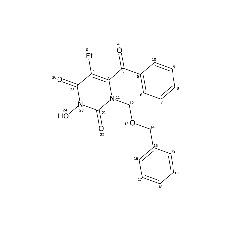 CCc1c(C(=O)c2ccccc2)n(COCc2ccccc2)c(=O)n(O)c1=O